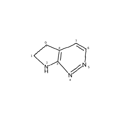 [CH]1CNc2nnccc21